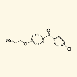 CC(C)(C)CCOc1ccc(C(=O)c2ccc(Cl)cc2)cc1